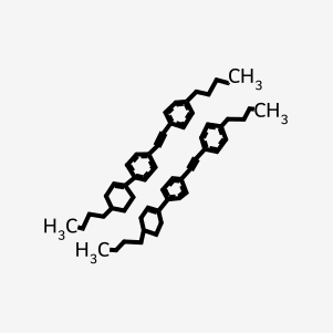 CCCCCc1ccc(C#Cc2ccc(C3=CCC(CCCC)CC3)cc2)cc1.CCCCc1ccc(C#Cc2ccc(C3=CCC(CCCC)CC3)cc2)cc1